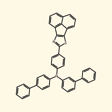 c1ccc(-c2ccc(N(c3ccc(-c4nc5c(s4)-c4cccc6cccc-5c46)cc3)c3cccc(-c4ccccc4)c3)cc2)cc1